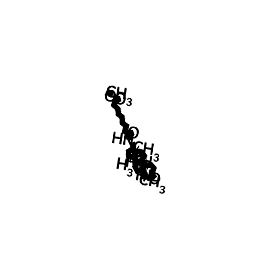 COC(=O)CCCCCCCC(=O)NCC1CC[C@H]2[C@@H]3CC[C@H]4N(C)C(=O)CC[C@]4(C)[C@H]3CC[C@]12C